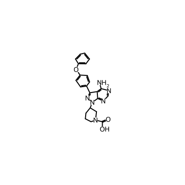 Nc1ncnc2c1c(-c1ccc(Oc3ccccc3)cc1)nn2C1CCCN(C(=O)O)C1